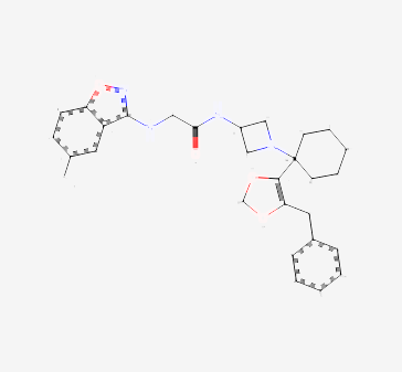 O=C(CNc1noc2ccc(C(F)(F)F)cc12)NC1CN(C2(C3=C(Cc4ccccc4)OCO3)CCCCC2)C1